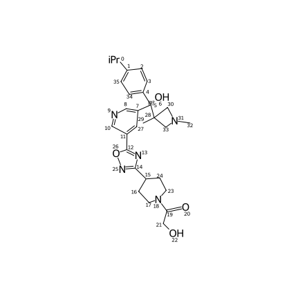 CC(C)c1ccc([C@](O)(c2cncc(-c3nc(C4CCN(C(=O)CO)CC4)no3)c2)C2(C)CN(C)C2)cc1